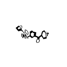 CN1CCC(C(=O)c2cccc(NS(=O)(=O)c3ccco3)c2)CC1